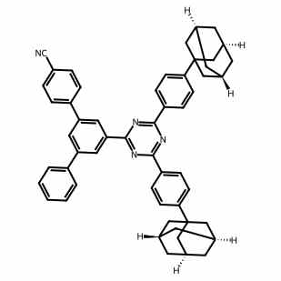 N#Cc1ccc(-c2cc(-c3ccccc3)cc(-c3nc(-c4ccc(C56C[C@H]7C[C@H](C5)C[C@@H](C6)C7)cc4)nc(-c4ccc(C56C[C@H]7C[C@H](C5)C[C@@H](C6)C7)cc4)n3)c2)cc1